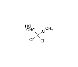 Cl.O.O=CC(Cl)(Cl)Cl